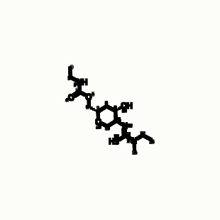 CCNC(=O)OC[C@@H]1C[C@H](O)[C@@H](/N=C(\S)N(C)CC)CO1